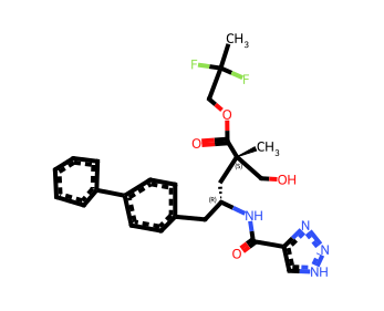 CC(F)(F)COC(=O)[C@](C)(CO)C[C@@H](Cc1ccc(-c2ccccc2)cc1)NC(=O)c1c[nH]nn1